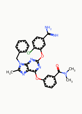 Cc1nc2c(Oc3cccc(C(=O)N(C)C)c3)nc(Oc3cc(C(=N)N)ccc3Cl)nc2n1Cc1ccccc1